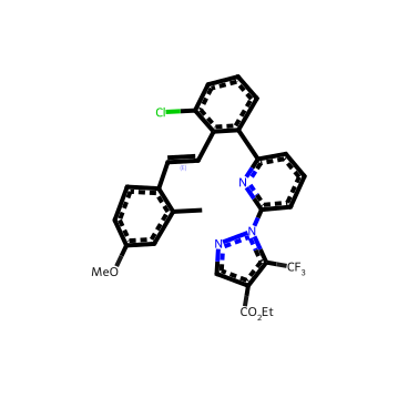 CCOC(=O)c1cnn(-c2cccc(-c3cccc(Cl)c3/C=C/c3ccc(OC)cc3C)n2)c1C(F)(F)F